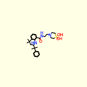 CC1(C)CC(C(C)(C)c2ccccc2)Nc2c(C(=O)NCCN3CCS(O)(O)CC3)cccc21